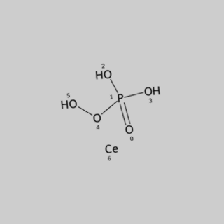 O=P(O)(O)OO.[Ce]